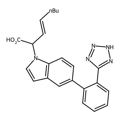 CCCCC=CC(C(=O)O)n1ccc2cc(-c3ccccc3-c3nn[nH]n3)ccc21